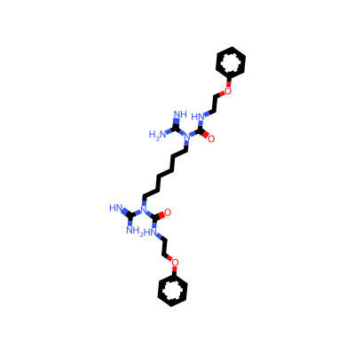 N=C(N)N(CCCCCCN(C(=N)N)C(=O)NCCOc1ccccc1)C(=O)NCCOc1ccccc1